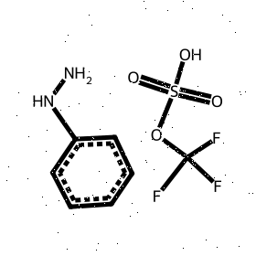 NNc1ccccc1.O=S(=O)(O)OC(F)(F)F